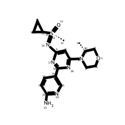 C[C@@H]1COCCN1c1cc(N=[S@](C)(=O)C2CC2)nc(-c2ccc(N)nc2)n1